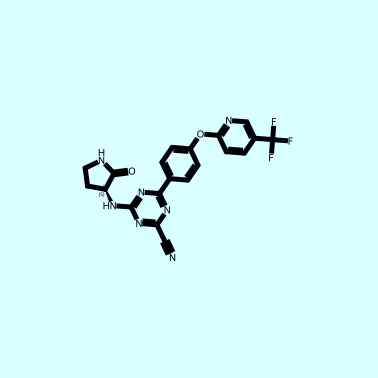 N#Cc1nc(N[C@H]2CCNC2=O)nc(-c2ccc(Oc3ccc(C(F)(F)F)cn3)cc2)n1